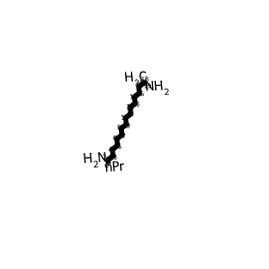 CCCC(N)CCCCCCCCCCCCCCC(C)N